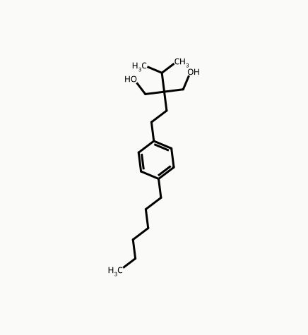 CCCCCCc1ccc(CCC(CO)(CO)C(C)C)cc1